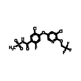 CS(=O)(=O)NC(=O)c1cc(Cl)c(Oc2cnc(OCC(F)(F)F)c(Cl)c2)cc1F